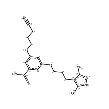 C#CCCCOc1cc(OCCCc2c(C)n[nH]c2C)cc(C(=O)O)c1